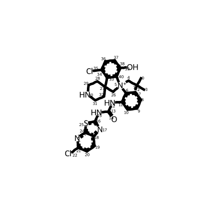 CC(C)(C)C[N+]1(c2ccccc2NC(=O)Nc2nc3ccc(Cl)nc3s2)CC2(CCNCC2)c2c(Cl)ccc(O)c21